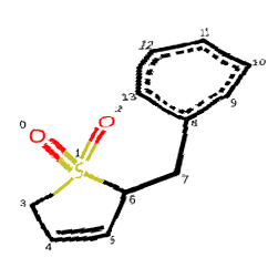 O=S1(=O)CC=CC1Cc1ccccc1